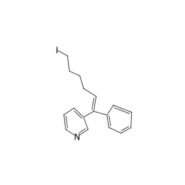 ICCCCC=C(c1ccccc1)c1cccnc1